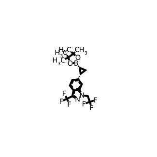 CC1(C)OB([C@H]2C[C@@H]2c2ccc3c(C(F)(F)F)nn(CC(F)(F)F)c3c2)OC1(C)C